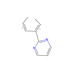 C/C=C\C(=C/C)c1ncccn1